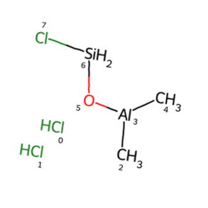 Cl.Cl.[CH3][Al]([CH3])[O][SiH2]Cl